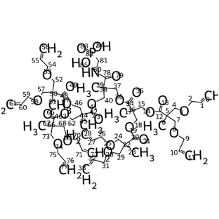 C=CCOCC(C)(COCC=C)C(=O)OCC(C)(COC(=O)C(C)(COCC=C)COCC=C)C(=O)OCC(C)(COC(=O)C(C)(COC(=O)C(C)(COCC=C)COCC=C)COC(=O)C(C)(COCC=C)COCC=C)C(=O)NCP(=O)(O)O